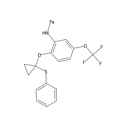 FC(F)(F)Oc1ccc(OC2(Sc3ccccc3)CC2)c([NH][Fe])c1